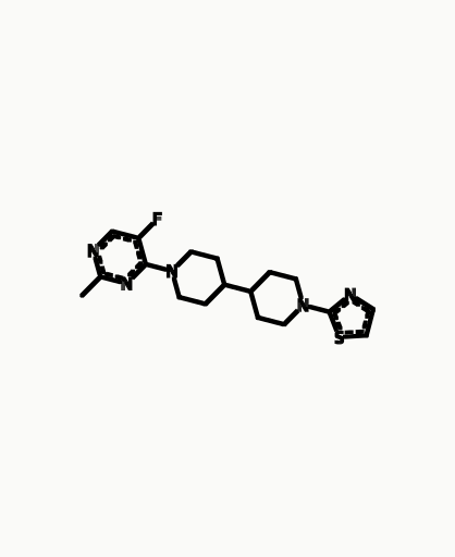 Cc1ncc(F)c(N2CCC(C3CCN(c4nccs4)CC3)CC2)n1